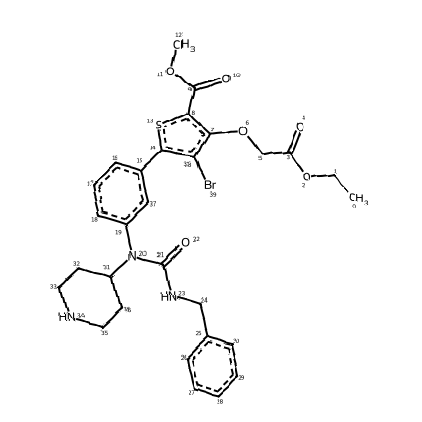 CCOC(=O)COc1c(C(=O)OC)sc(-c2cccc(N(C(=O)NCc3ccccc3)C3CCNCC3)c2)c1Br